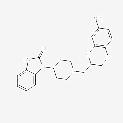 O=c1[nH]c2ccccc2n1C1CCN(CC2COc3ccc([N+](=O)[O-])cc3O2)CC1